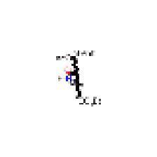 CCCCCC(CCCC(CCCCCCC(=O)OCC)C(=O)N(C)CC)OC(C)=O